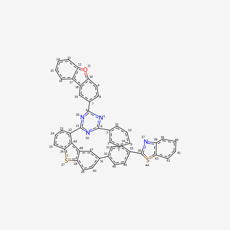 c1ccc(-c2nc(-c3ccc4oc5ccccc5c4c3)nc(-c3cccc4sc5ccc(-c6ccc(-c7nc8ccccc8s7)cc6)cc5c34)n2)cc1